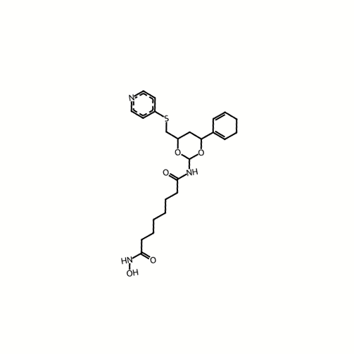 O=C(CCCCCCC(=O)NC1OC(CSc2ccncc2)CC(C2=CCCC=C2)O1)NO